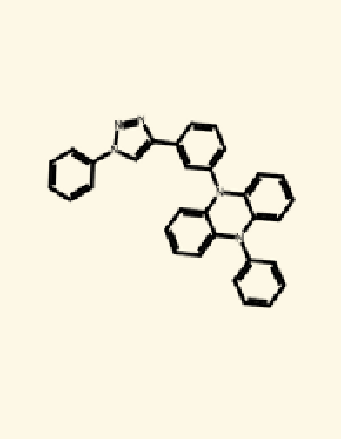 c1ccc(N2c3ccccc3N(c3cccc(-c4cn(-c5ccccc5)nn4)c3)c3ccccc32)cc1